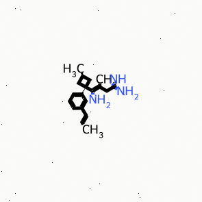 C/C=C/c1cccc([C@]2(/C(N)=C(\C)CC(=N)N)C[C@@H](C)C2)c1